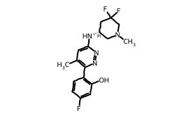 Cc1cc(N[C@H]2CN(C)CC(F)(F)C2)nnc1-c1ccc(F)cc1O